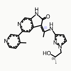 C/C(Nc1ccn(C[C@H](C)O)n1)=C1/C(=O)Nc2cnc(-c3cnccc3C)cc21